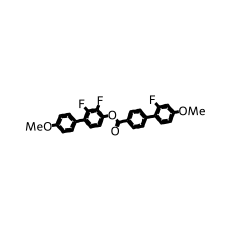 COc1ccc(-c2ccc(OC(=O)c3ccc(-c4ccc(OC)cc4F)cc3)c(F)c2F)cc1